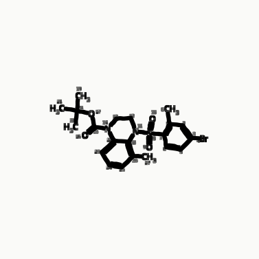 Cc1cc(Br)ccc1S(=O)(=O)N1CCN(C(=O)OC(C)(C)C)c2cccc(C)c21